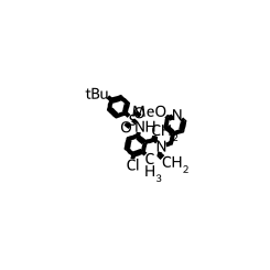 C=CN(Cc1ccnc(OC)c1)C(=C)c1c(NS(=O)(=O)c2ccc(C(C)(C)C)cc2)ccc(Cl)c1C